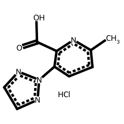 Cc1ccc(-n2nccn2)c(C(=O)O)n1.Cl